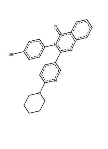 CCC(C)c1ccc(-n2c(-c3ccc(N4CCCCC4)nc3)nc3ccccc3c2=O)cc1